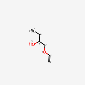 C=COCC(O)CC(C)(C)C